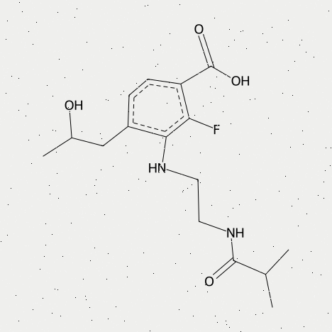 CC(O)Cc1ccc(C(=O)O)c(F)c1NCCNC(=O)C(C)C